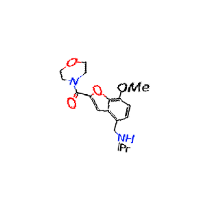 COc1ccc(CNC(C)C)c2cc(C(=O)N3CCOCC3)oc12